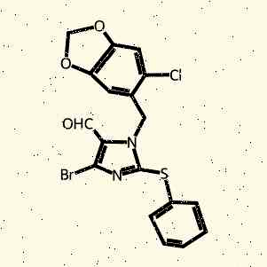 O=Cc1c(Br)nc(Sc2ccccc2)n1Cc1cc2c(cc1Cl)OCO2